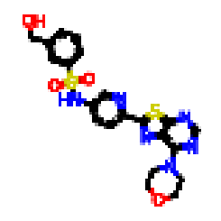 O=S(=O)(Nc1ccc(-c2nc3c(N4CCOCC4)ncnc3s2)nc1)c1cccc(CO)c1